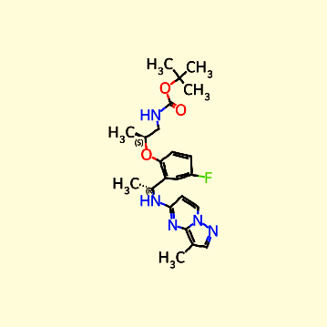 Cc1cnn2ccc(N[C@H](C)c3cc(F)ccc3O[C@@H](C)CNC(=O)OC(C)(C)C)nc12